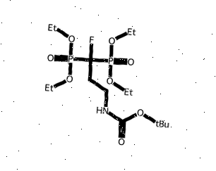 CCOP(=O)(OCC)C(F)(CCNC(=O)OC(C)(C)C)P(=O)(OCC)OCC